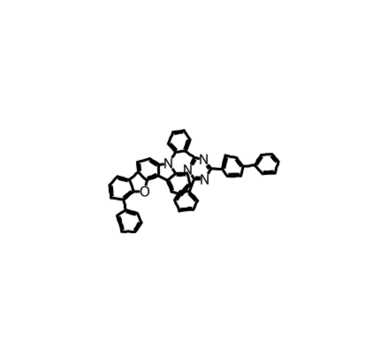 c1ccc(-c2ccc(-c3nc(-c4ccccc4)nc(-c4ccccc4-n4c5ccccc5c5c6oc7c(-c8ccccc8)cccc7c6ccc54)n3)cc2)cc1